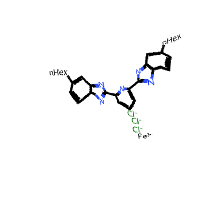 CCCCCCC1=CC2=NC(c3cccc(C4=NC5C=CC(CCCCCC)=CC5=N4)n3)=NC2C=C1.[Cl-].[Cl-].[Cl-].[Fe+3]